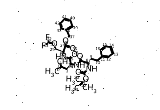 CC(C)C[C@H](NC(=O)[C@H](CCc1ccccc1)NC(=O)OC(C)(C)C)C(=O)N[C@@H](COC(F)F)C(=O)OCc1ccccc1